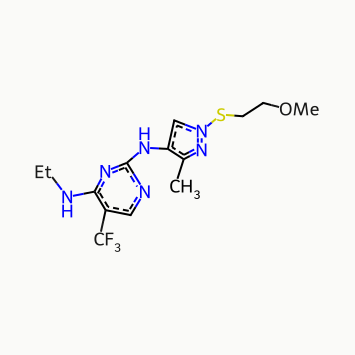 CCNc1nc(Nc2cn(SCCOC)nc2C)ncc1C(F)(F)F